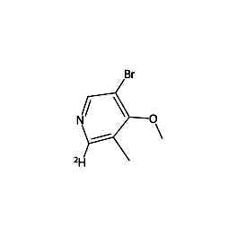 [2H]c1ncc(Br)c(OC)c1C